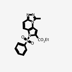 CCOC(=O)c1cc2c(ccc3nnc(C)n32)n1S(=O)(=O)c1ccccc1